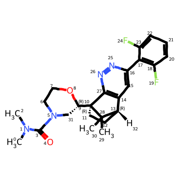 CN(C)C(=O)N1CCO[C@H]([C@@]23CC[C@@H](c4cc(-c5c(F)cccc5F)nnc42)C3(C)C)C1